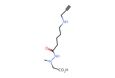 C#CCNCCCCC(=O)NN(C)CC(=O)O